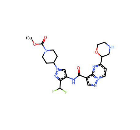 CC(C)(C)OC(=O)N1CCC(n2cc(NC(=O)c3cnn4ccc(C5CNCCO5)nc34)c(C(F)F)n2)CC1